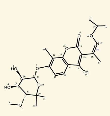 CO[C@@H]1[C@@H](O)[C@@H](O)[C@H](Oc2ccc3c(O)c(/C(C)=N\OC(C)C)c(=O)oc3c2C)OC1(C)C